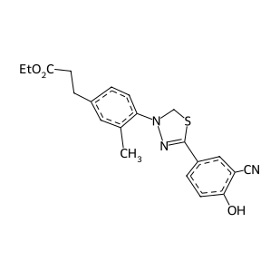 CCOC(=O)CCc1ccc(N2CSC(c3ccc(O)c(C#N)c3)=N2)c(C)c1